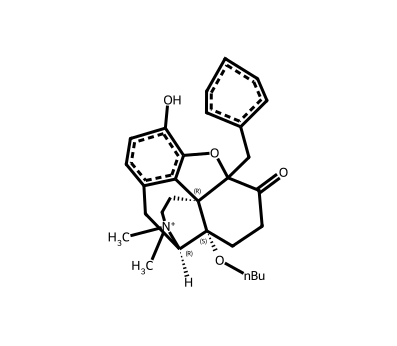 CCCCO[C@@]12CCC(=O)C3(Cc4ccccc4)Oc4c(O)ccc5c4[C@@]31CC[N+](C)(C)[C@@H]2C5